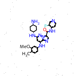 COc1cc(Nc2cc(N[C@H]3CC[C@H](N)CC3)nn3c(C(=O)Nc4ccncc4F)cnc23)ccc1C